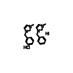 CN1C=CN(Cc2ccccc2)C1.Cl.Cn1cc[n+](Cc2ccccc2)c1.I